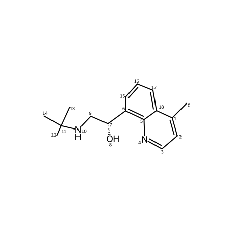 Cc1ccnc2c([C@H](O)CNC(C)(C)C)cccc12